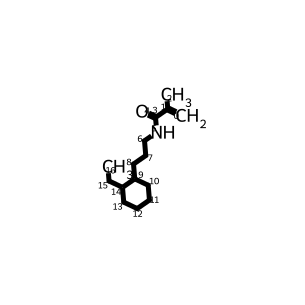 C=C(C)C(=O)NCCCC1CCCCC1CC